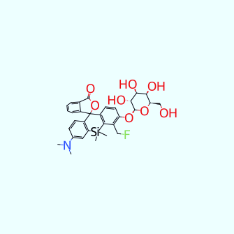 CN(C)c1ccc2c(c1)[Si](C)(C)c1c(ccc(O[C@@H]3O[C@H](CO)[C@H](O)[C@H](O)[C@H]3O)c1CF)C21OC(=O)c2ccccc21